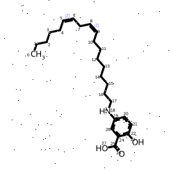 CCCCC/C=C\C/C=C\CCCCCCCCNc1ccc(O)c(C(=O)O)c1